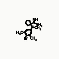 Cc1cc(N(C)C2(C(=N)N)CCCC2)cc(C)c1Br